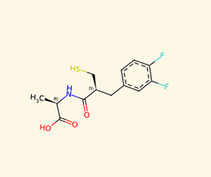 C[C@@H](NC(=O)[C@@H](CS)Cc1ccc(F)c(F)c1)C(=O)O